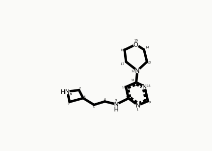 c1nc(NCCC2CNC2)cc(N2CCOCC2)n1